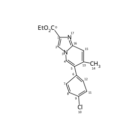 CCOC(=O)c1cn2cc(-c3ccc(Cl)cc3)c(C)cc2n1